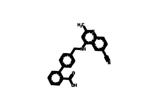 Cc1cc(NCc2ccc(-c3ccccc3C(=O)O)cc2)c2cc(C#N)ccc2n1